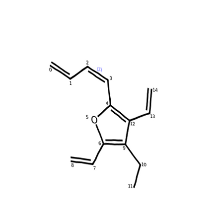 C=C/C=C\c1oc(C=C)c(CC)c1C=C